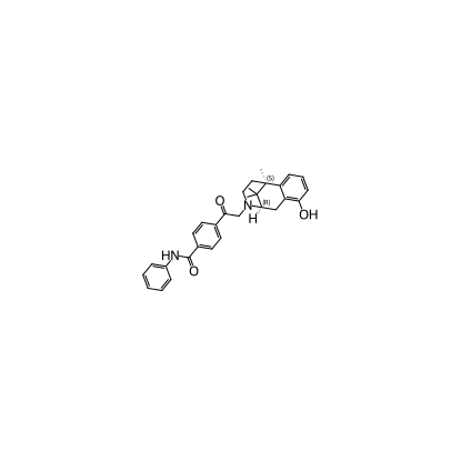 CC1(C)[C@H]2Cc3c(O)cccc3[C@]1(C)CCN2CC(=O)c1ccc(C(=O)Nc2ccccc2)cc1